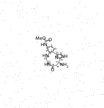 COC(=O)Nc1ccc2c(c1)NCCNC(=O)CC(N)c1nc-2c[nH]1